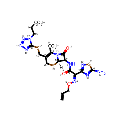 C=CCO/N=C(\C(=O)NC1C(=O)N2C(C(=O)O)=C(CSc3nnnn3CCC(=O)O)CS[C@H]12)c1nsc(N)n1